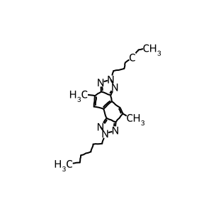 CCCCCCn1nc2c(C)cc3c(cc(C)c4nn(CCCCCC)nc43)c2n1